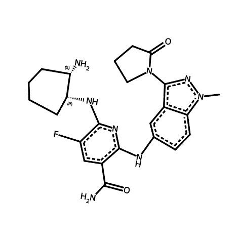 Cn1nc(N2CCCC2=O)c2cc(Nc3nc(N[C@@H]4CCCC[C@@H]4N)c(F)cc3C(N)=O)ccc21